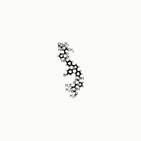 COC(=O)N[C@H](C(=O)N1CCC[C@H]1C(=O)Nc1ccc(C2CCC(C3=CCC(NC(=O)[C@@H]4CCCN4C(=O)[C@@H](NC(=O)OC)C(C)C)C=C3)N2C2C=CC(Br)=CC2)cc1)C(C)C